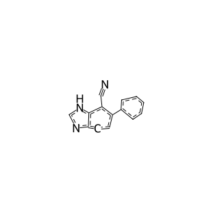 N#Cc1c(-c2ccccc2)ccc2nc[nH]c12